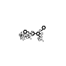 COC(=O)c1cc(-c2cnc(N(Cc3cccc(OC(F)(F)F)c3)C(=O)OC(C)(C)C)nc2)cc(OCc2ccccc2)c1Cl